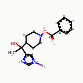 CC(O)(c1cn(I)cn1)C1CCN(OC(=O)c2ccccc2)CC1